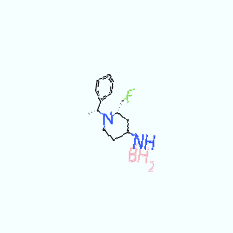 BN[C@H]1CCN([C@H](C)c2ccccc2)[C@H](CF)C1